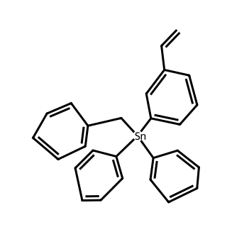 C=Cc1ccc[c]([Sn]([CH2]c2ccccc2)([c]2ccccc2)[c]2ccccc2)c1